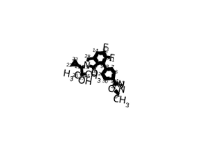 Cc1nnc(-c2ccc(-c3c(F)c(F)cc4c3C(=O)N(C(C3CC3)C(C)(C)O)C4)cc2)o1